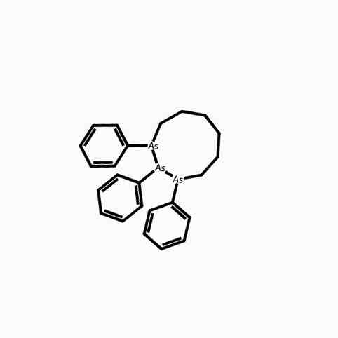 c1ccc([As]2CCCCCC[As](c3ccccc3)[As]2c2ccccc2)cc1